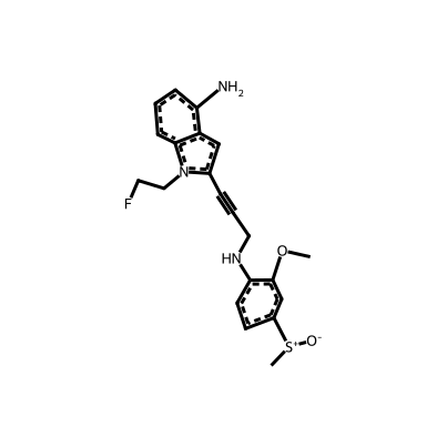 COc1cc([S+](C)[O-])ccc1NCC#Cc1cc2c(N)cccc2n1CCF